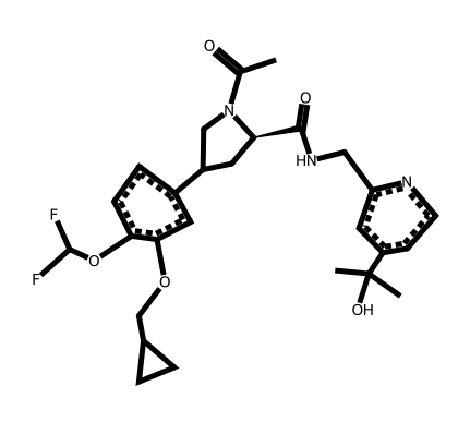 CC(=O)N1CC(c2ccc(OC(F)F)c(OCC3CC3)c2)C[C@@H]1C(=O)NCc1cc(C(C)(C)O)ccn1